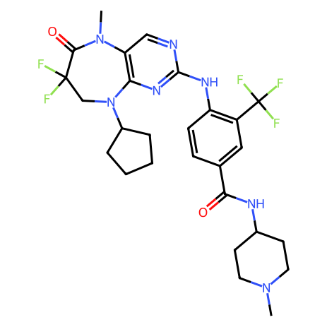 CN1CCC(NC(=O)c2ccc(Nc3ncc4c(n3)N(C3CCCC3)CC(F)(F)C(=O)N4C)c(C(F)(F)F)c2)CC1